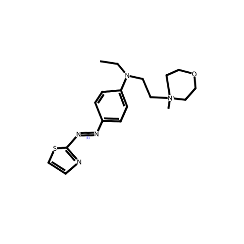 CCN(CC[N+]1(C)CCOCC1)c1ccc(/N=N/c2nccs2)cc1